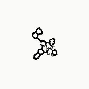 N=C(/N=C(\N)c1cc2ccccc2cc1-c1nc(-c2ccccc2)cc(-c2cccc3ccccc23)n1)c1ccccc1